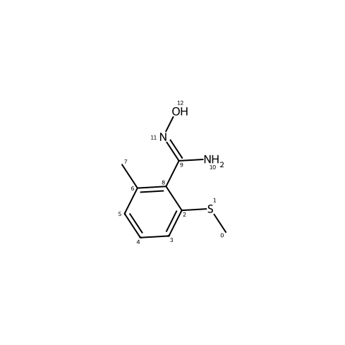 CSc1cccc(C)c1C(N)=NO